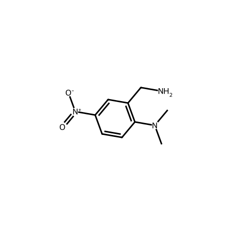 CN(C)c1ccc([N+](=O)[O-])cc1CN